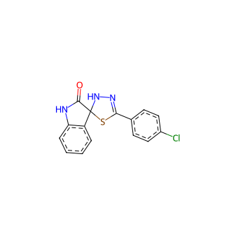 O=C1Nc2ccccc2C12NN=C(c1ccc(Cl)cc1)S2